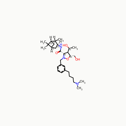 C[C@@H]1[C@@H](NC(=O)[C@@H]2C([C@H](C)O)[C@H](CO)ON2Cc2cccc(CCCCN(C)C)c2)C[C@H]2C[C@@H]1C2(C)C